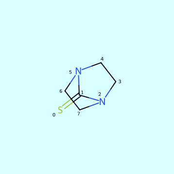 S=C1N2CCN1CC2